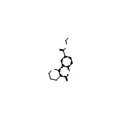 CCOC(=O)c1ccc2[nH]c(=O)c3c(c2c1)NCCC3